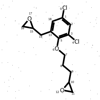 Clc1cc(Cl)c(OCCCC2CO2)c(CC2CO2)c1